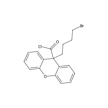 O=C(Cl)C1(CCCCBr)c2ccccc2Oc2ccccc21